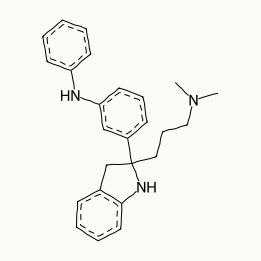 CN(C)CCCC1(c2cccc(Nc3ccccc3)c2)Cc2ccccc2N1